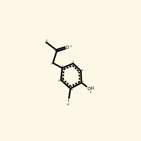 CC(=O)Cc1ccc(O)c(I)c1